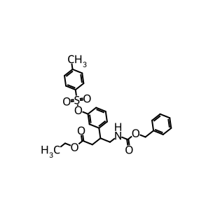 CCOC(=O)CC(CNC(=O)OCc1ccccc1)c1cccc(OS(=O)(=O)c2ccc(C)cc2)c1